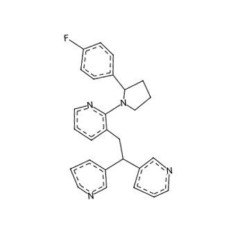 Fc1ccc(C2CCCN2c2ncccc2CC(c2cccnc2)c2cccnc2)cc1